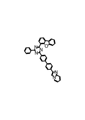 c1ccc(-c2nc(-c3ccc(-c4ccc(-c5cn6ccccc6n5)cc4)cc3)nc(-c3cccc4c3oc3ccccc34)n2)cc1